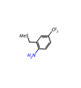 CSCc1cc(C(F)(F)F)ccc1N